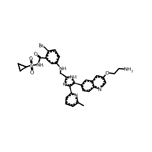 Cc1cccc(-c2nc(CNc3ccc(Br)c(C(=O)NS(=O)(=O)C4CC4)c3)[nH]c2-c2ccc3ncc(OCCN)cc3c2)n1